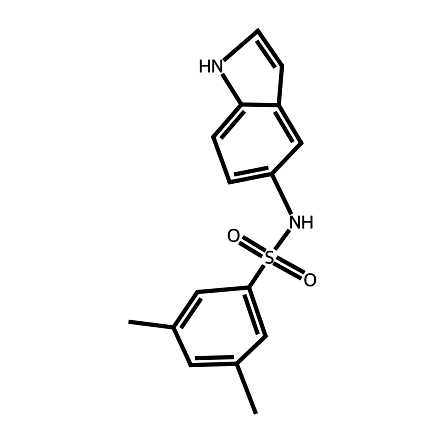 Cc1cc(C)cc(S(=O)(=O)Nc2ccc3[nH]ccc3c2)c1